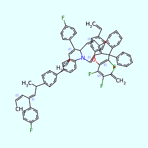 C=C/C=C(/c1ccc(F)cc1)C1/C=C\C2=C(/C=C/N1c1ccc(-c3ccc(C(C)/C=C(\C=C/C)c4ccc(F)cc4)cc3)cc1)C(/C(F)=C(Oc1ccc(C=C)cc1)/C(F)=C(/F)C(=C)F)(c1ccccc1)c1ccccc12